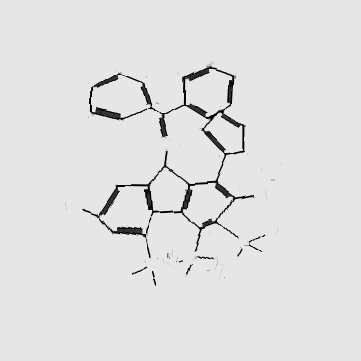 Cc1cc2c(c([Si](C)(C)C)c1)-c1c(c(C3=CC=CC3)c(C)c([Si](C)(C)C)c1[Si](C)(C)C)[CH]2[Zr+2]=[C](c1ccccc1)c1ccccc1.[Cl-].[Cl-]